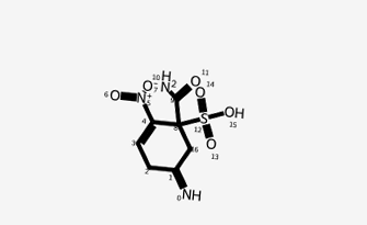 N=C1CC=C([N+](=O)[O-])C(C(N)=O)(S(=O)(=O)O)C1